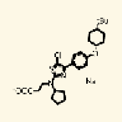 CC(C)(C)[C@H]1CC[C@H](Oc2ccc(-c3nc(N(CCC(=O)[O-])C4CCCC4)sc3Cl)cc2)CC1.[Na+]